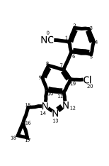 N#Cc1ccccc1-c1ccc2c(nnn2CC2CC2)c1Cl